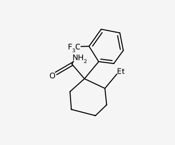 CCC1CCCCC1(C(N)=O)c1ccccc1C(F)(F)F